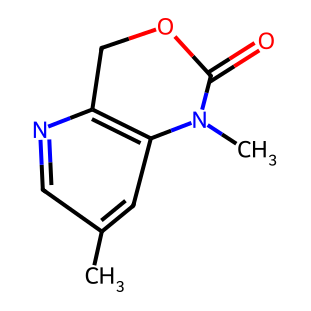 Cc1cnc2c(c1)N(C)C(=O)OC2